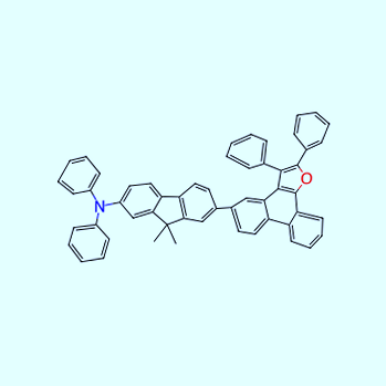 CC1(C)c2cc(-c3ccc4c5ccccc5c5oc(-c6ccccc6)c(-c6ccccc6)c5c4c3)ccc2-c2ccc(N(c3ccccc3)c3ccccc3)cc21